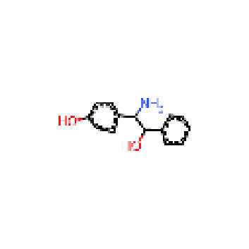 NC(c1ccc(O)cc1)C(O)c1ccccc1